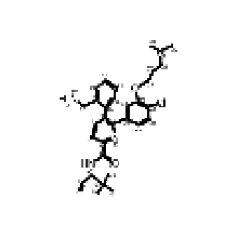 C=C[C@H](NC(=O)c1ccc(-c2ccccc2CN)c(-c2ccc(Cl)c(OCCCN(C)C)c2)n1)C(C)(C)C